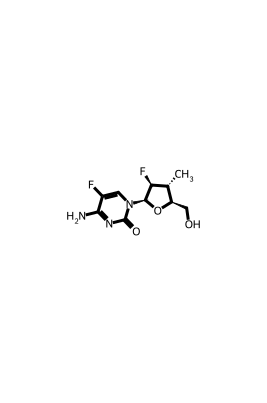 C[C@H]1[C@H](F)[C@H](n2cc(F)c(N)nc2=O)O[C@@H]1CO